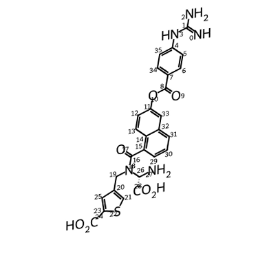 N=C(N)Nc1ccc(C(=O)Oc2ccc3c(C(=O)N(Cc4csc(C(=O)O)c4)[C@H](N)C(=O)O)cccc3c2)cc1